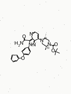 C[C@@H]1CN(C(=O)OC(C)(C)C)[C@@H](C)CN1c1ccnc2c(C(N)=O)n(-c3ccc(Oc4ccccc4)cc3)nc12